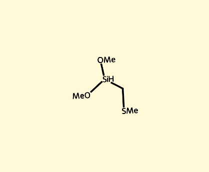 CO[SiH](CSC)OC